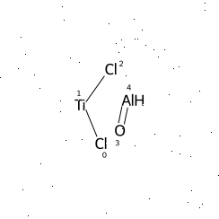 [Cl][Ti][Cl].[O]=[AlH]